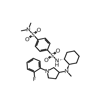 CN(C1CCN(c2ccccc2F)C1)[C@@H]1CCCC[C@H]1NS(=O)(=O)c1ccc(S(=O)(=O)N(C)C)cc1